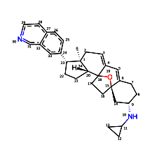 C[C@]12CC=C3C=C4CC[C@H](NC5CC5)C[C@]45CCC3(O5)[C@@H]1CC[C@@H]2c1ccc2ccncc2c1